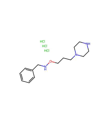 Cl.Cl.Cl.c1ccc(CNOCCCN2CCNCC2)cc1